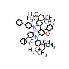 Cc1cc2c(cc1N1c3cc(-c4ccccc4)ccc3B3c4c1cc1oc5ccccc5c1c4-c1cc4c(cc1N3c1ccc(-c3ccccc3)cc1)C(C)(C)CCC4(C)C)C(C)(C)CCC2(C)C